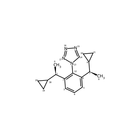 C[C@@H](c1cccc([C@H](C)C2CC2)c1-n1cnnn1)C1CC1